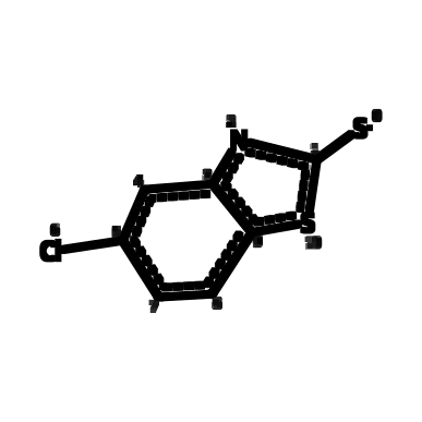 [S]c1nc2cc(Cl)ccc2s1